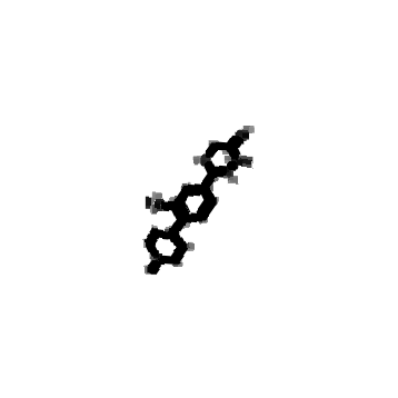 CN1CCC(c2ccc(C3=NNC(=O)CO3)cc2C(F)(F)F)CC1